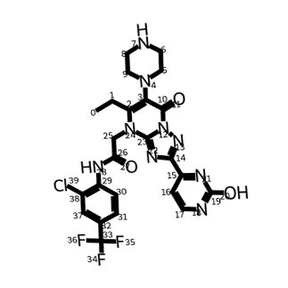 CCc1c(N2CCNCC2)c(=O)n2nc(-c3ccnc(O)n3)nc2n1CC(=O)Nc1ccc(C(F)(F)F)cc1Cl